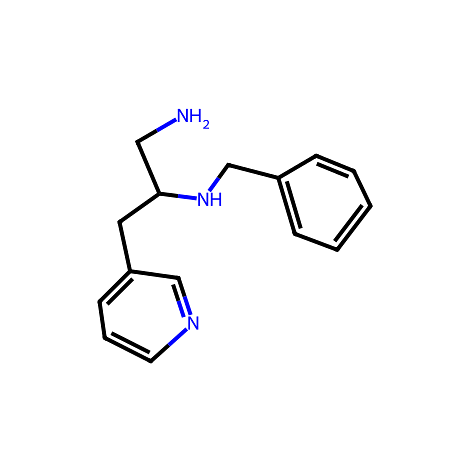 NCC(Cc1cccnc1)NCc1ccccc1